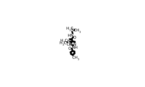 Cc1ccc(C(=O)Nc2ncc3c(C(=O)NCCN(C)C)cn(C(C)(C)C)c3n2)cc1